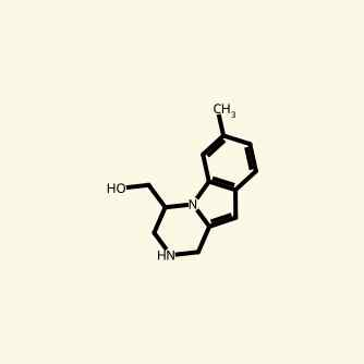 Cc1ccc2cc3n(c2c1)C(CO)CNC3